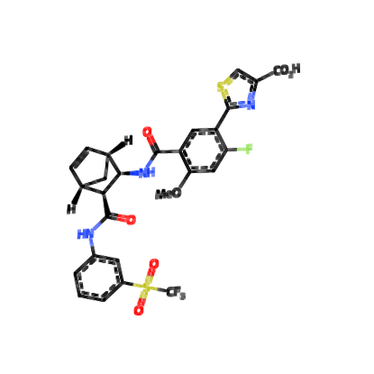 COc1cc(F)c(-c2nc(C(=O)O)cs2)cc1C(=O)N[C@H]1[C@@H](C(=O)Nc2cccc(S(=O)(=O)C(F)(F)F)c2)[C@@H]2C=C[C@H]1C2